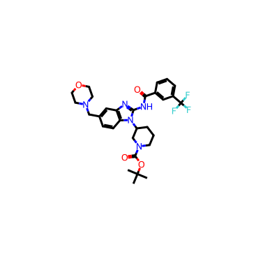 CC(C)(C)OC(=O)N1CCCC(n2c(NC(=O)c3cccc(C(F)(F)F)c3)nc3cc(CN4CCOCC4)ccc32)C1